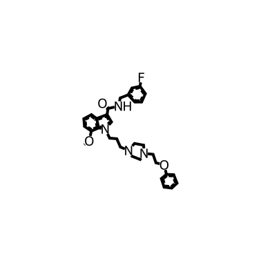 COc1cccc2c(C(=O)NCc3cccc(F)c3)cn(CCCN3CCN(CCOc4ccccc4)CC3)c12